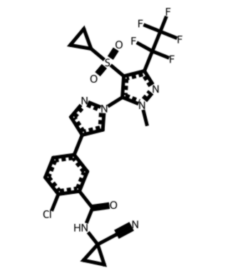 Cn1nc(C(F)(F)C(F)(F)F)c(S(=O)(=O)C2CC2)c1-n1cc(-c2ccc(Cl)c(C(=O)NC3(C#N)CC3)c2)cn1